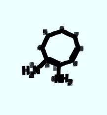 NC1=C(N)CCCCC=C1